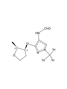 [2H]C([2H])([2H])n1cc(NC=O)c(O[C@H]2CCO[C@H]2C)n1